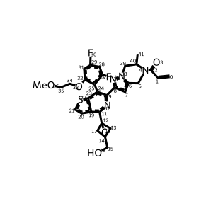 C=CC(=O)N1Cc2cc(-c3nc(C45CC(CO)(C4)C5)c4ccsc4c3-c3c(F)cc(F)cc3OCCOC)nn2CC1C